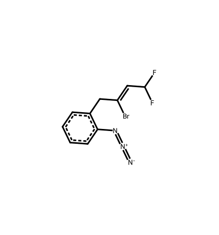 [N-]=[N+]=Nc1ccccc1CC(Br)=CC(F)F